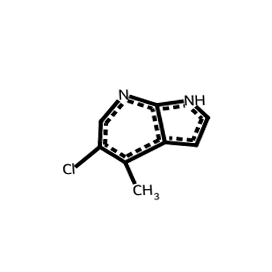 Cc1c(Cl)cnc2[nH]ccc12